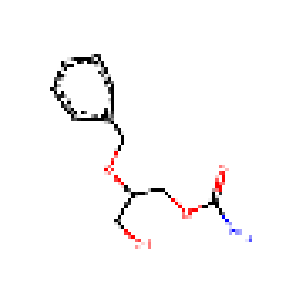 NC(=O)OCC(CO)OCc1ccccc1